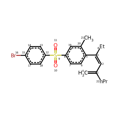 C=C(/C=C(/CC)c1ccc(S(=O)(=O)c2ccc(Br)cc2)cc1C)CCC